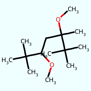 COC(CC(C)(OC)C(C)(C)C)C(C)(C)C